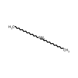 CCCCCCCCCCCCCCC[SiH2]CCCCCCCCCCCCCCC